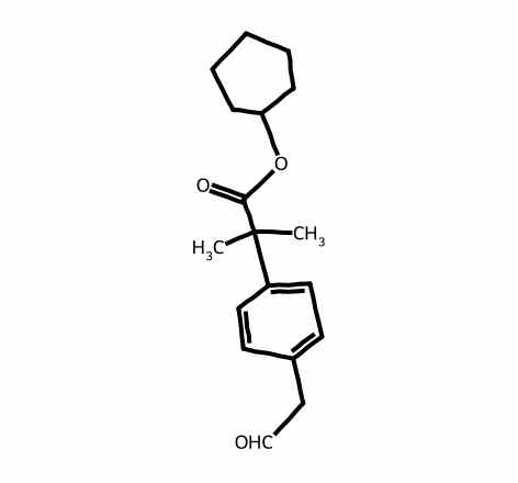 CC(C)(C(=O)OC1CCCCC1)c1ccc(CC=O)cc1